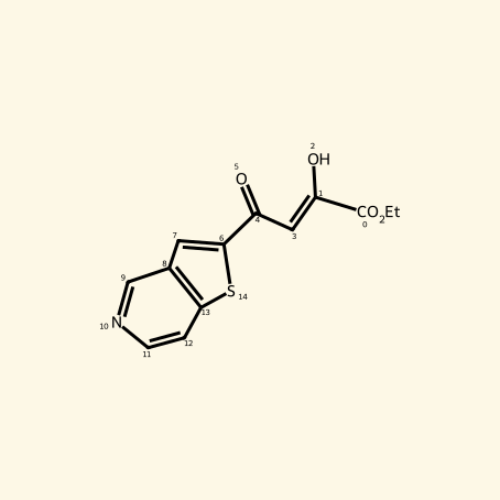 CCOC(=O)/C(O)=C/C(=O)c1cc2cnccc2s1